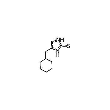 S=c1[nH]cc(CC2CCCCC2)[nH]1